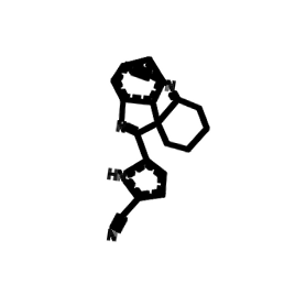 N#C/N=C1/CCCCC12C(c1ccc(C#N)[nH]1)=Nc1ccccc12